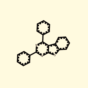 c1ccc(-c2nc(-c3ccccc3)c3c(n2)sc2ccccc23)cc1